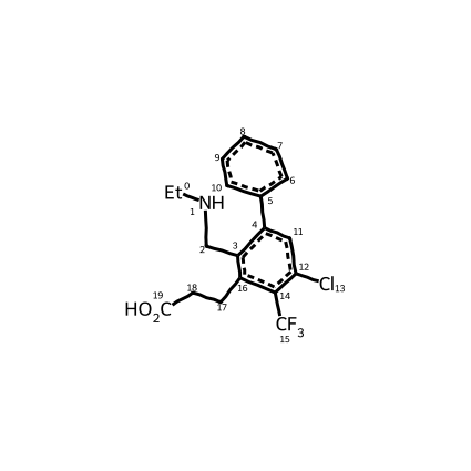 CCNCc1c(-c2ccccc2)cc(Cl)c(C(F)(F)F)c1CCC(=O)O